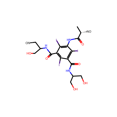 C[C@H](N=O)C(=O)Nc1c(I)c(C(=O)NC(CO)CO)c(I)c(C(=O)NC(CO)CN=O)c1I